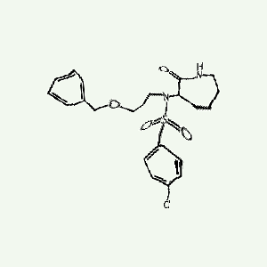 O=C1NCCCCC1N(CCOCc1ccccc1)S(=O)(=O)c1ccc(Cl)cc1